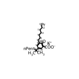 CCCCCC(C)(C)c1cc(CCCCCCC(C)C)c(O)c(C(=O)[O-])c1.[K+]